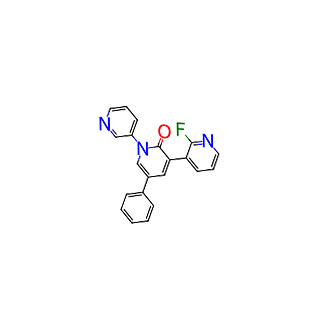 O=c1c(-c2cccnc2F)cc(-c2ccccc2)cn1-c1cccnc1